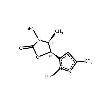 CC(C)N1C(=O)O[C@H](c2cc(C(F)(F)F)nn2C)[C@@H]1C